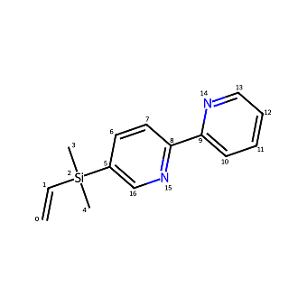 C=C[Si](C)(C)c1ccc(-c2ccccn2)nc1